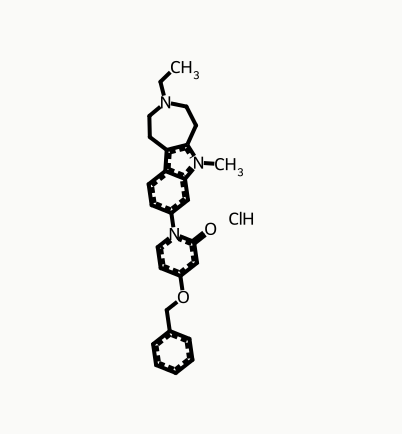 CCN1CCc2c(n(C)c3cc(-n4ccc(OCc5ccccc5)cc4=O)ccc23)CC1.Cl